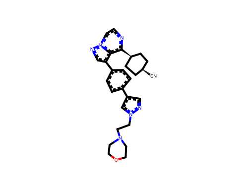 N#C[C@H]1CC[C@@H](c2nccn3ncc(-c4ccc(-c5cnn(CCN6CCOCC6)c5)cc4)c23)CC1